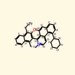 Cc1c2c(c(CC(C)C)c3ccccc13)Oc1cc3cccc(C4CCCCC4)c3c3cc[n+](C)c-2c13